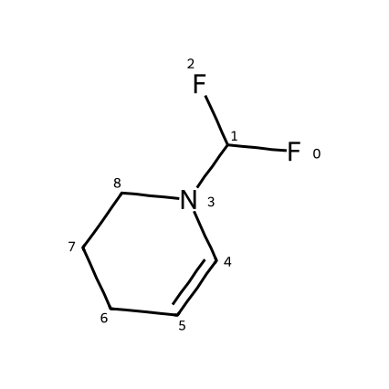 FC(F)N1C=CCCC1